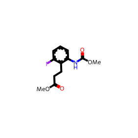 COC(=O)CCc1c(I)cccc1NC(=O)OC